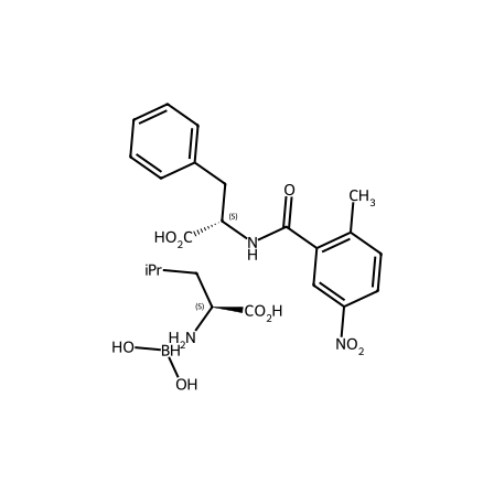 CC(C)C[C@H](N)C(=O)O.Cc1ccc([N+](=O)[O-])cc1C(=O)N[C@@H](Cc1ccccc1)C(=O)O.OBO